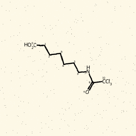 O=C(O)CCCCCCNC(=O)C(Cl)(Cl)Cl